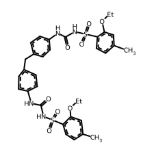 CCOc1cc(C)ccc1S(=O)(=O)NC(=O)Nc1ccc(Cc2ccc(NC(=O)NS(=O)(=O)c3ccc(C)cc3OCC)cc2)cc1